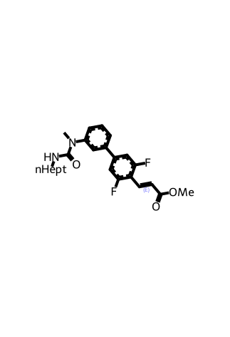 CCCCCCCNC(=O)N(C)c1cccc(-c2cc(F)c(/C=C/C(=O)OC)c(F)c2)c1